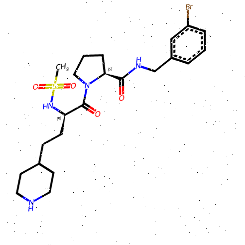 CS(=O)(=O)N[C@H](CCC1CCNCC1)C(=O)N1CCC[C@H]1C(=O)NCc1cccc(Br)c1